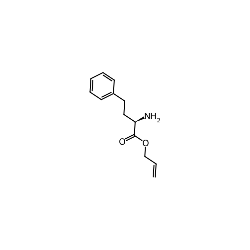 C=CCOC(=O)[C@H](N)CCc1ccccc1